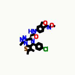 CO/N=C1\OCc2cc(NC(=O)C[C@@H]3N=C(c4ccc(Cl)cc4)c4c(sc(C)c4C)-n4c(C)nnc43)ccc21